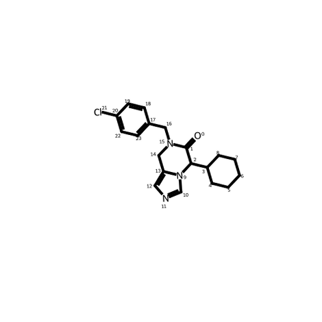 O=C1C(C2CCCCC2)n2cncc2CN1Cc1ccc(Cl)cc1